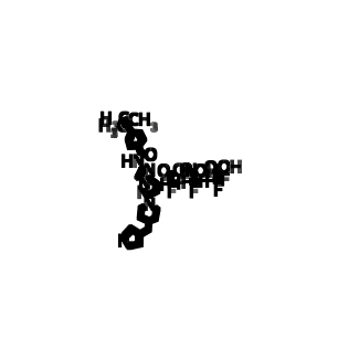 CC(C)(C)c1ccc(C(=O)Nc2cn3nc(N4CCC(Cc5ccncc5)CC4)ccc3n2)cc1.O=C(O)C(F)(F)F.O=C(O)C(F)(F)F.O=C(O)C(F)(F)F